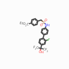 CCOC(=O)c1ccc(CS(=O)(=O)Nc2ccc(-c3ccc(C(O)(C(F)(F)F)C(F)(F)F)cc3F)cc2)cc1